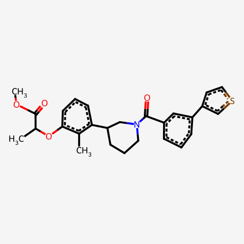 COC(=O)C(C)Oc1cccc(C2CCCN(C(=O)c3cccc(-c4ccsc4)c3)C2)c1C